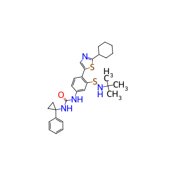 CC(C)(C)NSc1cc(NC(=O)NC2(c3ccccc3)CC2)ccc1-c1cnc(C2CCCCC2)s1